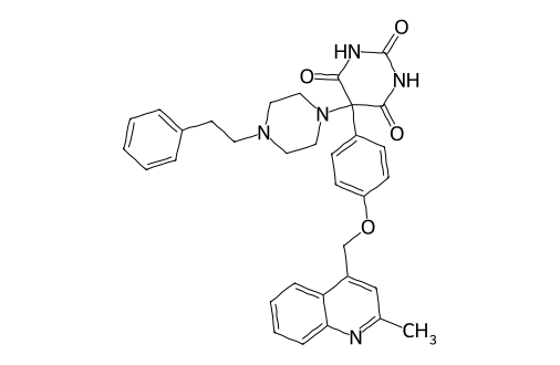 Cc1cc(COc2ccc(C3(N4CCN(CCc5ccccc5)CC4)C(=O)NC(=O)NC3=O)cc2)c2ccccc2n1